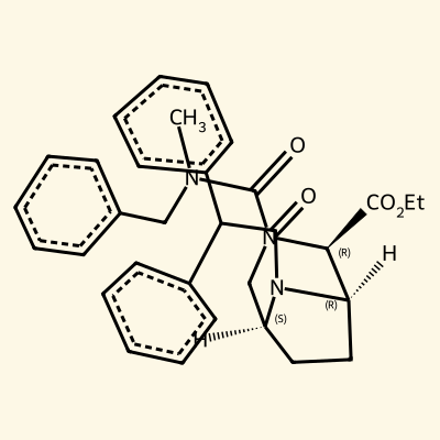 CCOC(=O)[C@H]1[C@H]2CC[C@@H](CN1C(=O)N(C)Cc1ccccc1)N2C(=O)C(c1ccccc1)c1ccccc1